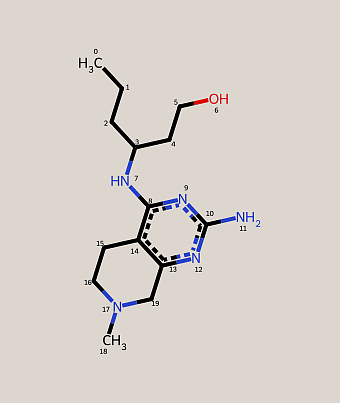 CCCC(CCO)Nc1nc(N)nc2c1CCN(C)C2